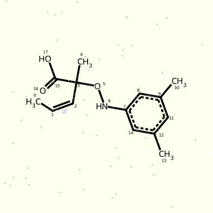 C/C=C\C(C)(ONc1cc(C)cc(C)c1)C(=O)O